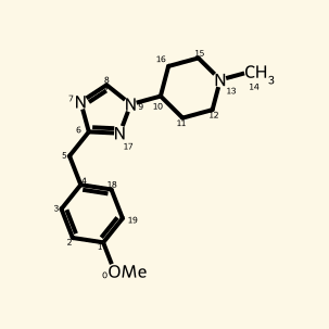 COc1ccc(Cc2n[c]n(C3CCN(C)CC3)n2)cc1